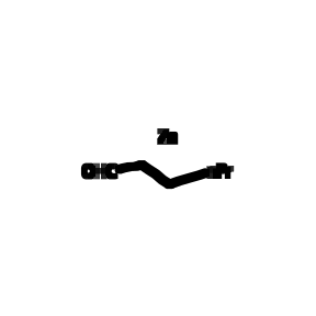 CCCCCC=O.[Zn]